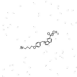 COC(=O)c1ccc2ccn(Cc3ccc(OCCCCBr)cc3)c2c1